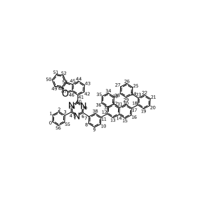 c1ccc(-c2nc(-c3cccc(-c4cc5ccc(-c6ccccc6-c6ccccc6)cc5c5ccccc45)c3)nc(-c3cccc4c3oc3ccccc34)n2)cc1